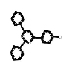 Clc1ccc(-c2cc(-c3ccccc3)nc(-c3ccccc3)n2)cc1